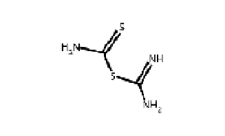 N=C(N)SC(N)=S